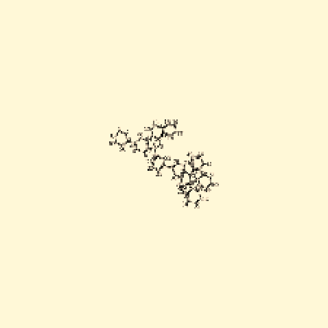 c1ccc(-c2ccc(C(Cc3cccc4ccccc34)c3cccc(-c4ccc5c(c4)-c4sc6ccccc6c4C5(c4ccccc4)c4ccccc4)c3)cc2)cc1